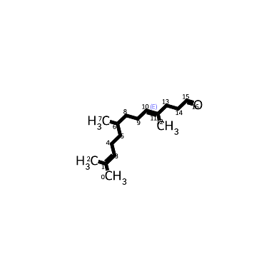 CC(C)=CCCC(C)CC/C=C(\C)CCC=O